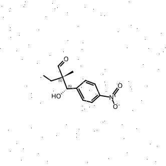 CC[C@](C)(C=O)[C@@H](O)c1ccc([N+](=O)[O-])cc1